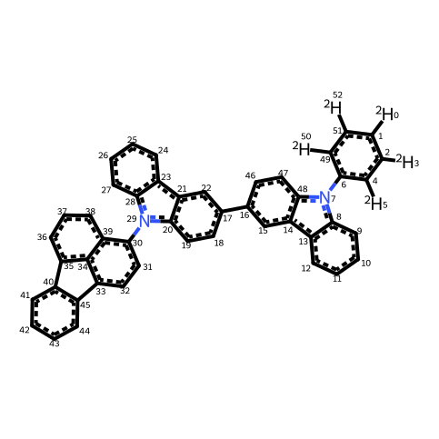 [2H]c1c([2H])c([2H])c(-n2c3ccccc3c3cc(-c4ccc5c(c4)c4ccccc4n5-c4ccc5c6c(cccc46)-c4ccccc4-5)ccc32)c([2H])c1[2H]